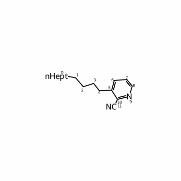 CCCCCCCCCCCc1cccnc1C#N